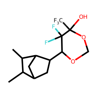 CC1C2CC(C1C)C(C1OCOC(O)(C(F)(F)F)C1(F)F)C2